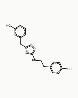 Oc1ccc(CCNc2nc(Cc3cccc(O)c3)ns2)cc1